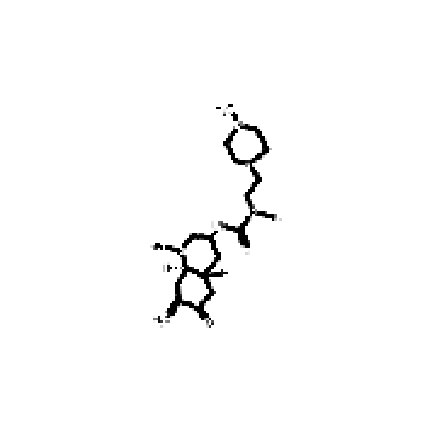 C=C1C[C@@H]2[C@@H](CC1=O)C[C@H](NC(=O)N(CC)CCN1CCN(C)CC1)CN2CCC